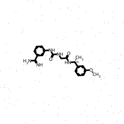 COc1cccc([C@@H](C)NC(=O)CNC(=O)Nc2cccc(C(=N)N)c2)c1